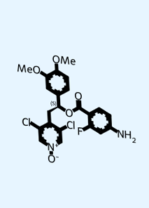 COc1ccc([C@H](Cc2c(Cl)c[n+]([O-])cc2Cl)OC(=O)c2ccc(N)cc2F)cc1OC